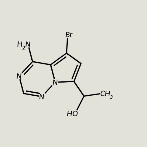 CC(O)c1cc(Br)c2c(N)ncnn12